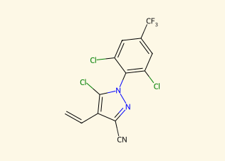 C=Cc1c(C#N)nn(-c2c(Cl)cc(C(F)(F)F)cc2Cl)c1Cl